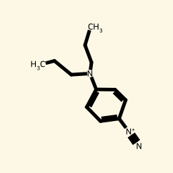 CCCN(CCC)c1ccc([N+]#N)cc1